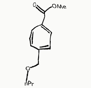 CCCOCc1ccc(C(=O)OC)cc1